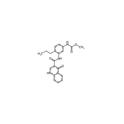 CCCc1ccc(NC(=O)OC)cc1NC(=O)c1c[nH]c2ccccc2c1=O